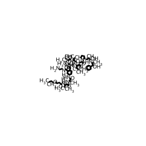 CC[C@H](C)[C@@H]([C@@H](CC(=O)N1CCC[C@H]1C[C@@H](C)C(O)N[C@H](C)[C@@H](O)c1ccccc1)OC)N(C)C(=O)[C@@H](NC(=O)[C@H](C(C)C)N(C)C(=O)OCc1ccc(NC(=O)[C@H](C)NC(=O)[C@@H](NC(=O)CCOCCC(C)C)C(C)C)cc1C(=O)NCCN)C(C)C